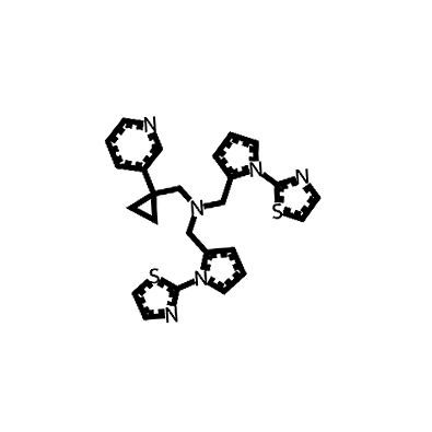 c1cncc(C2(CN(Cc3cccn3-c3nccs3)Cc3cccn3-c3nccs3)CC2)c1